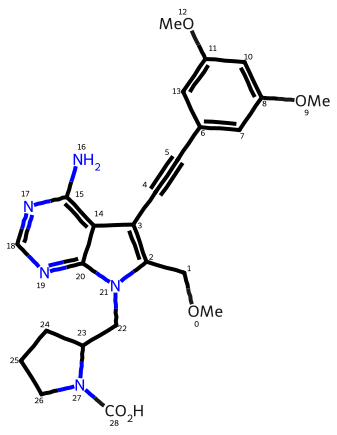 COCc1c(C#Cc2cc(OC)cc(OC)c2)c2c(N)ncnc2n1CC1CCCN1C(=O)O